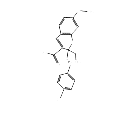 CCC1(N=Nc2ccc(Br)cc2)Oc2cc(OC)ccc2C=C1C(=O)O